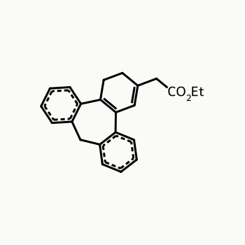 CCOC(=O)CC1=CC2=C(CC1)c1ccccc1Cc1ccccc12